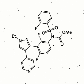 CCn1cc(-c2ccncc2)c(-c2c(F)ccc(N(C(=O)OC)S(=O)(=O)c3ccccc3F)c2F)n1